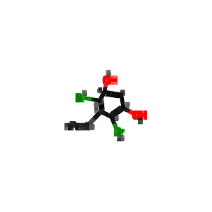 CCCCCc1c(Br)c(O)cc(O)c1Br